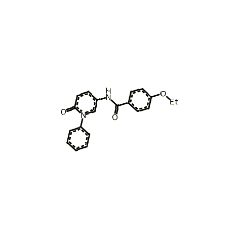 CCOc1ccc(C(=O)Nc2ccc(=O)n(-c3ccccc3)c2)cc1